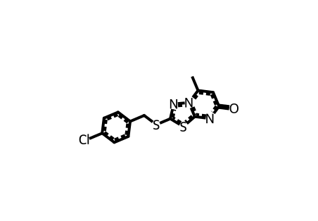 Cc1cc(=O)nc2sc(SCc3ccc(Cl)cc3)nn12